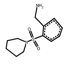 NCc1ccccc1S(=O)(=O)N1CCCCC1